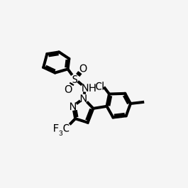 Cc1ccc(-c2cc(C(F)(F)F)nn2NS(=O)(=O)c2ccccc2)c(Cl)c1